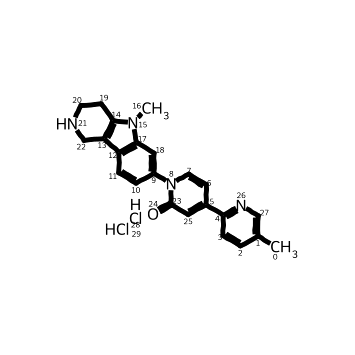 Cc1ccc(-c2ccn(-c3ccc4c5c(n(C)c4c3)CCNC5)c(=O)c2)nc1.Cl.Cl